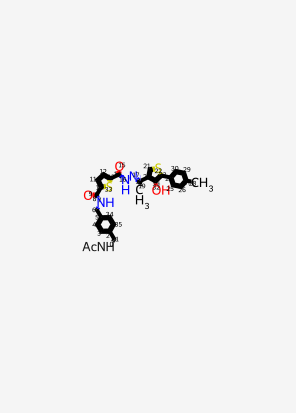 CC(=O)NCc1ccc(CNC(=O)c2ccc(C(=O)N/N=C(\C)c3csc(-c4ccc(C)cc4)c3O)s2)cc1